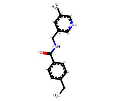 CCc1ccc(C(=O)NCc2cncc(C)c2)cc1